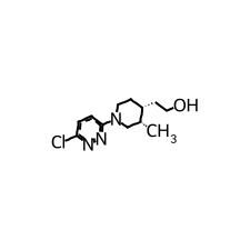 C[C@@H]1CN(c2ccc(Cl)nn2)CC[C@@H]1CCO